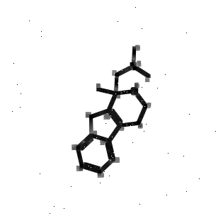 CN(C)CC1(C)OCCC2=C1Cc1ccccc12